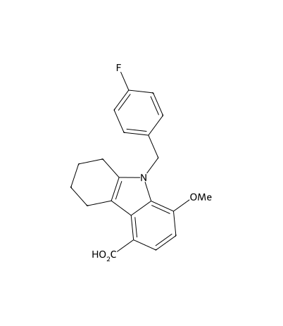 COc1ccc(C(=O)O)c2c3c(n(Cc4ccc(F)cc4)c12)CCCC3